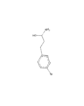 NC(O)CCc1ccc(Br)cc1